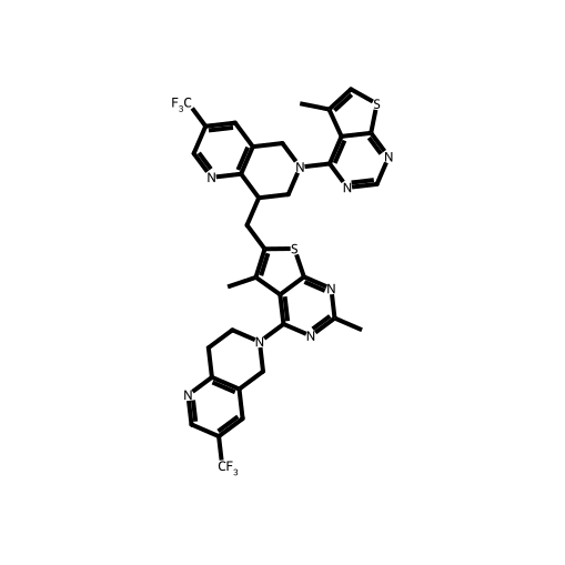 Cc1nc(N2CCc3ncc(C(F)(F)F)cc3C2)c2c(C)c(CC3CN(c4ncnc5scc(C)c45)Cc4cc(C(F)(F)F)cnc43)sc2n1